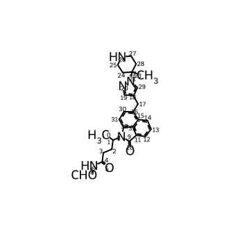 CC(CCC(=O)NC=O)N1C(=O)c2cccc3c(Cc4cnn(C5(C)CCNCC5)c4)ccc1c23